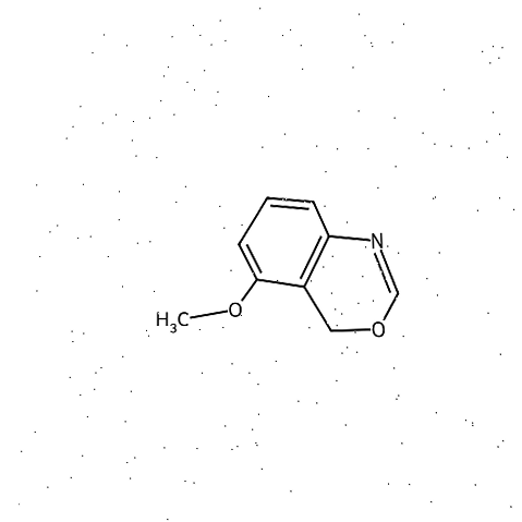 COc1cccc2c1COC=N2